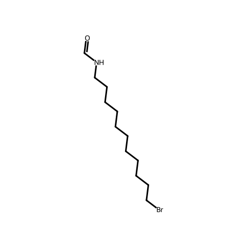 O=CNCCCCCCCCCCCBr